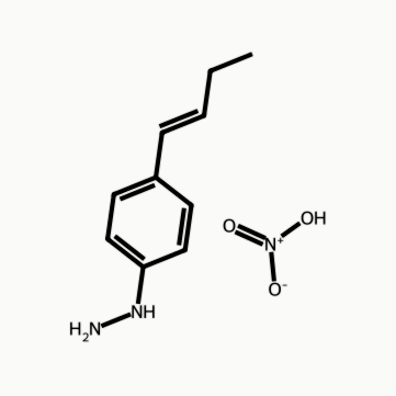 CCC=Cc1ccc(NN)cc1.O=[N+]([O-])O